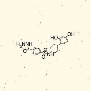 NNC(=O)c1ccc(S(=O)(=O)NC2CCC(c3ccc(O)cc3O)CC2)cc1